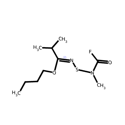 CCCCO/C(=N\SN(C)C(=O)F)C(C)C